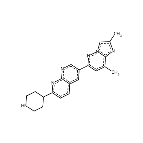 Cc1cn2nc(-c3cnc4nc(C5CCNCC5)ccc4c3)cc(C)c2n1